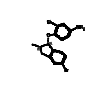 C[C@@H]1Cc2cc(Br)ccc2[C@H]1Oc1ccc(N)cc1Cl